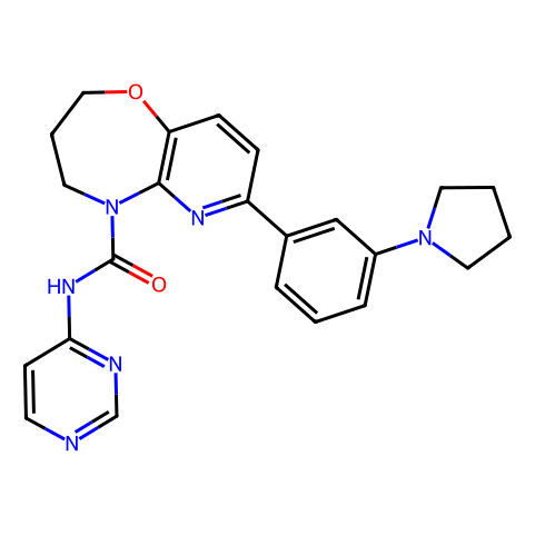 O=C(Nc1ccncn1)N1CCCOc2ccc(-c3cccc(N4CCCC4)c3)nc21